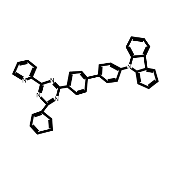 c1ccc(-c2nc(-c3ccc(-c4ccc(-n5c6ccccc6c6ccccc65)cc4)cc3)nc(-c3ccccn3)n2)cc1